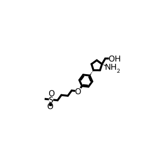 CS(=O)(=O)CCCCOc1ccc([C@@H]2CC[C@@](N)(CO)C2)cc1